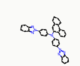 c1ccc2c(c1)cc(N(c1ccc(-n3nc4ccccc4n3)cc1)c1ccc(-n3nc4ccccc4n3)cc1)c1ccccc12